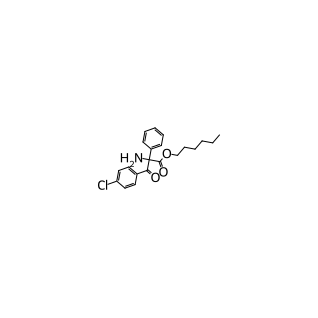 CCCCCCOC(=O)C(N)(C(=O)c1ccc(Cl)cc1)c1ccccc1